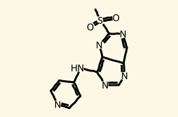 CS(=O)(=O)c1ncc2ncnc(Nc3ccncc3)c2n1